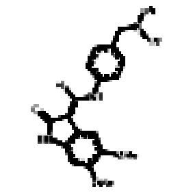 CCCN(CCC)Cc1ccc(NC(CC)=C2C(=O)Nc3cc(OC)c(OC)cc32)cc1